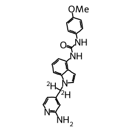 [2H]C([2H])(c1ccnc(N)c1)n1ccc2c(NC(=O)Nc3ccc(OC)cc3)cccc21